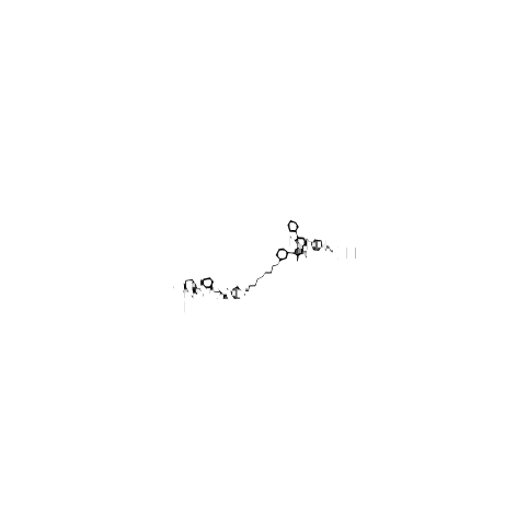 Cc1nn2c(N3CCN(CCO)CC3)cc(-c3ccccc3)nc2c1-c1cccc(CCCCCCCCCN2CCN(C(=O)COc3cccc(N4CCC(=O)NC4=O)c3)CC2)c1